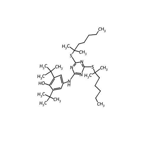 CCCCCC(C)(C)Sc1nc(Nc2cc(C(C)(C)C)c(O)c(C(C)(C)C)c2)nc(SC(C)(C)CCCCC)n1